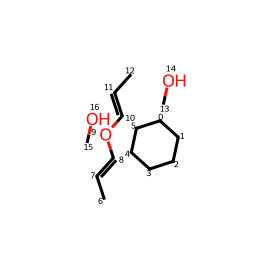 C1CCCCC1.CC=COC=CC.CO.CO